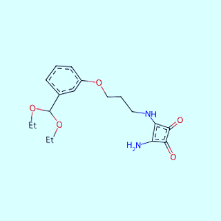 CCOC(OCC)c1cccc(OCCCNc2c(N)c(=O)c2=O)c1